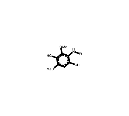 CCNc1c(O)cc(OC)c(O)c1OC